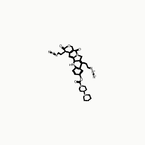 [N-]=[N+]=NCCC1=C2Cn3c(cc4c(c3=O)COC(=O)C4CCN=[N+]=[N-])C2Nc2ccc(OC(=O)N3CCC(N4CCCCC4)CC3)cc21